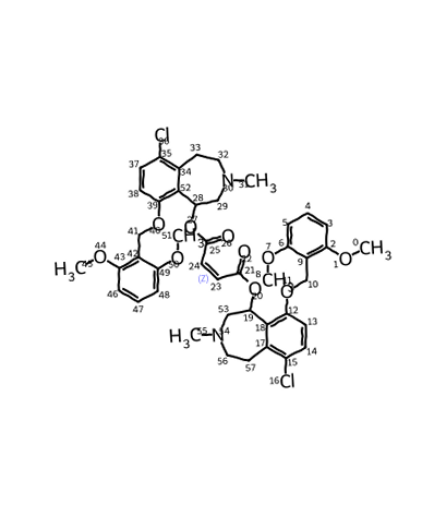 COc1cccc(OC)c1COc1ccc(Cl)c2c1C(OC(=O)/C=C\C(=O)OC1CN(C)CCc3c(Cl)ccc(OCc4c(OC)cccc4OC)c31)CN(C)CC2